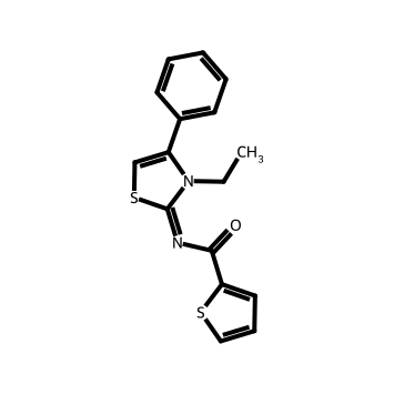 CCn1c(-c2ccccc2)cs/c1=N/C(=O)c1cccs1